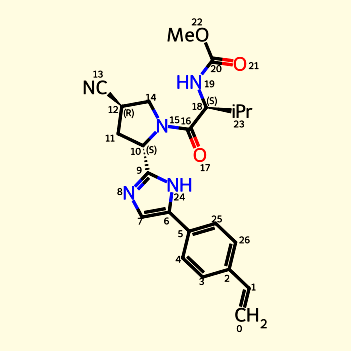 C=Cc1ccc(-c2cnc([C@@H]3C[C@@H](C#N)CN3C(=O)[C@@H](NC(=O)OC)C(C)C)[nH]2)cc1